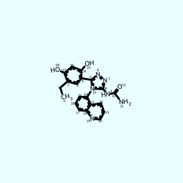 CCc1cc(-c2nnc(NC(N)=O)n2-c2cccc3ncccc23)c(O)cc1O